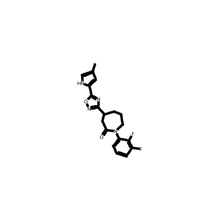 Cc1c[nH]c(-c2nc(C3CCCN(c4cccc(F)c4F)C(=O)C3)no2)c1